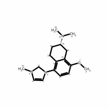 COc1ccc(N2C=CN(C)C2)c2c1C[C@@H](N(C)C)CC2